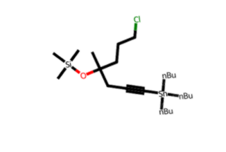 CCC[CH2][Sn]([C]#CCC(C)(CCCCl)O[Si](C)(C)C)([CH2]CCC)[CH2]CCC